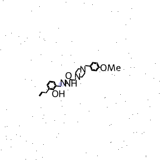 C=CCc1cccc(/C=N/NC(=O)CN2CCN(Cc3ccc(OC)cc3)CC2)c1O